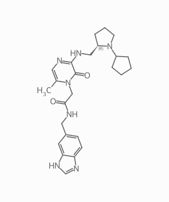 Cc1cnc(NC[C@H]2CCCN2C2CCCC2)c(=O)n1CC(=O)NCc1ccc2nc[nH]c2c1